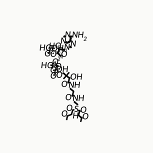 CC(=O)CC(=O)[SH](CCNC(=O)CCNC(=O)C(O)C(C)(C)COP(=O)(O)OP(=O)(O)OC[C@H]1O[C@@H](n2cnc3c(N)ncnc32)[C@H](O)[C@@H]1OP(=O)(O)O)C(=O)CC(C)=O